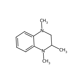 CC1CN(C)c2ccccc2N1C